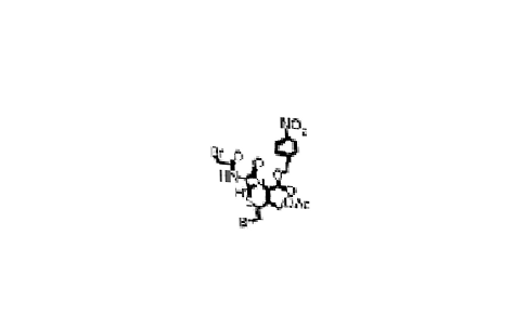 CC(=O)OCC1=C(C(=O)OCc2ccc([N+](=O)[O-])cc2)N2C(=O)C(NC(=O)CBr)[C@H]2S/C1=C\Br